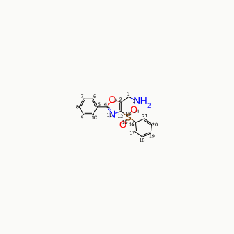 NCc1oc(-c2ccccc2)nc1S(=O)(=O)c1ccccc1